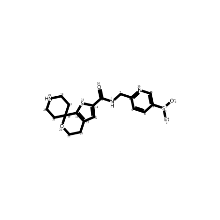 CC[S+]([O-])c1ccc(CNC(=O)c2cc3c(s2)C2(CCNCC2)OCC3)nc1